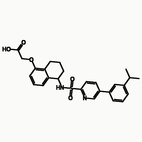 CC(C)c1cccc(-c2ccc(S(=O)(=O)NC3CCCc4c(OCC(=O)O)cccc43)nc2)c1